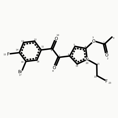 CC(=O)Oc1cc(C(=O)C(=O)c2ccc(F)c(Br)c2)cn1CCF